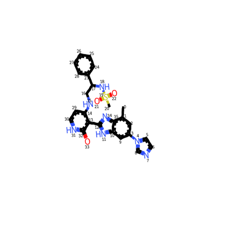 Cc1cc(-n2ccnc2)cc2[nH]c(-c3c(NCC(NS(C)(=O)=O)c4ccccc4)cc[nH]c3=O)nc12